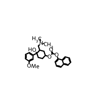 COc1cccc(C2(O)CCC(OC(=O)Oc3cccc4ccccc34)CC2CN(C)C)c1